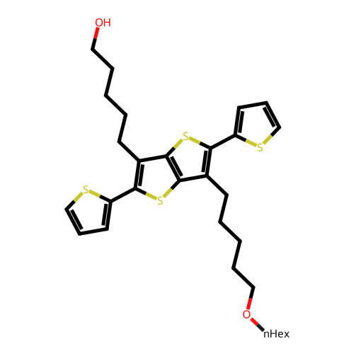 CCCCCCOCCCCCc1c(-c2cccs2)sc2c(CCCCCO)c(-c3cccs3)sc12